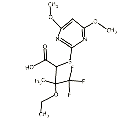 CCOC(C)(C(Sc1nc(OC)cc(OC)n1)C(=O)O)C(F)(F)F